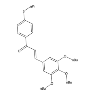 CCCCOc1cc(C=CC(=O)c2ccc(SCCC)cc2)cc(OCCCC)c1OCCCC